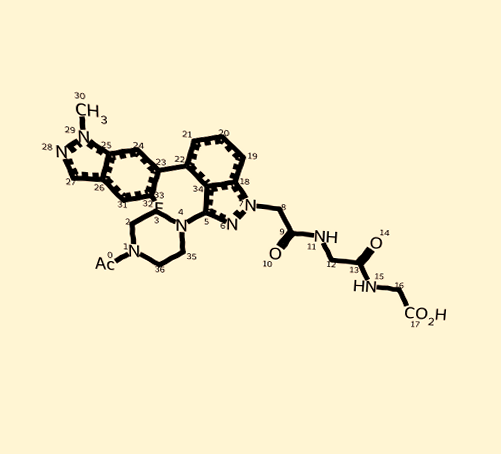 CC(=O)N1CCN(c2nn(CC(=O)NCC(=O)NCC(=O)O)c3cccc(-c4cc5c(cnn5C)cc4F)c23)CC1